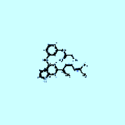 C=C(CC(C)(C)C)Nc1cc(Nc2nc(C(=C)/C=C\C=C(/C)C(F)(F)F)nc3[nH]ccc23)ccn1